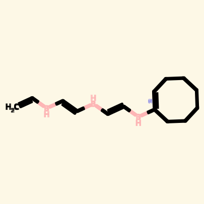 C=CBC=CBC=CB/C1=C/CCCCCC1